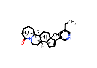 CCc1cncc(C2=CC[C@H]3[C@@H]4CCN5C(=O)CCCC[C@]5(C)[C@H]4CC[C@]23C)c1